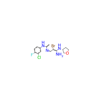 C=C(/N=C\C(Br)=C(/N)N[C@@H]1CCOC1)Nc1ccc(F)c(Cl)c1